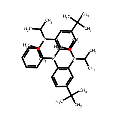 CC(C)P(c1cc(C(C)(C)C)ccc1P(c1ccccc1)c1ccc(C(C)(C)C)cc1P(C(C)C)C(C)C)C(C)C